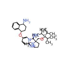 CC(C)[Si](OC[C@@]1(C(=N)n2cc(O[C@@H]3CC[C@H](N)c4ccccc43)ccc2=N)CCCN1C)(C(C)C)C(C)C